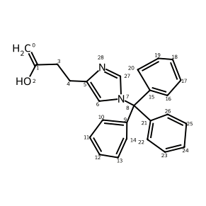 C=C(O)CCc1cn(C(c2ccccc2)(c2ccccc2)c2ccccc2)cn1